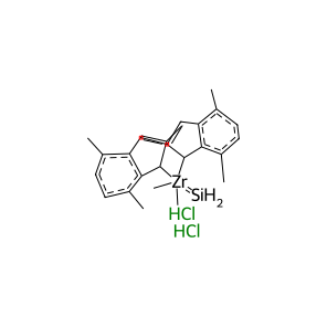 CC1=Cc2c(C)ccc(C)c2[CH]1[Zr]([CH3])([CH3])(=[SiH2])[CH]1C(C)=Cc2c(C)ccc(C)c21.Cl.Cl